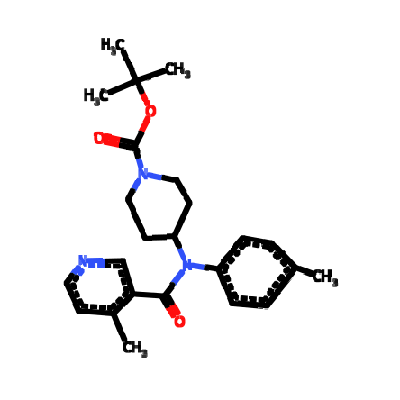 Cc1ccc(N(C(=O)c2cnccc2C)C2CCN(C(=O)OC(C)(C)C)CC2)cc1